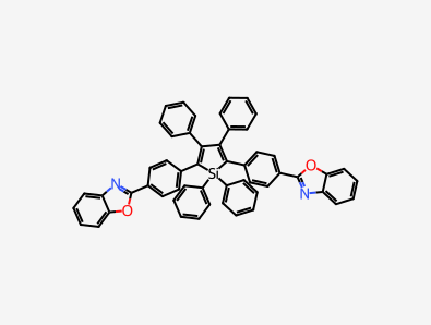 c1ccc(C2=C(c3ccc(-c4nc5ccccc5o4)cc3)[Si](c3ccccc3)(c3ccccc3)C(c3ccc(-c4nc5ccccc5o4)cc3)=C2c2ccccc2)cc1